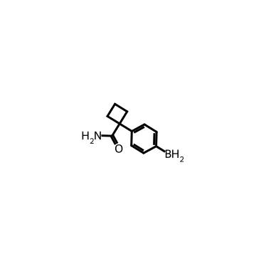 Bc1ccc(C2(C(N)=O)CCC2)cc1